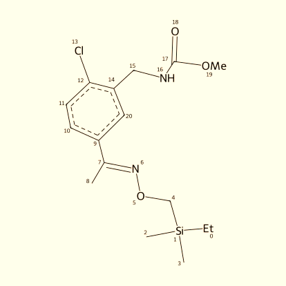 CC[Si](C)(C)CON=C(C)c1ccc(Cl)c(CNC(=O)OC)c1